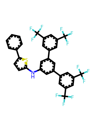 FC(F)(F)c1cc(-c2cc(Nc3ccc(-c4ccccc4)s3)cc(-c3cc(C(F)(F)F)cc(C(F)(F)F)c3)c2)cc(C(F)(F)F)c1